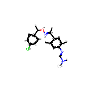 CCN(C)C=Nc1cc(C)c(C(C)=NOC(C)c2ccc(Cl)cc2)cc1C